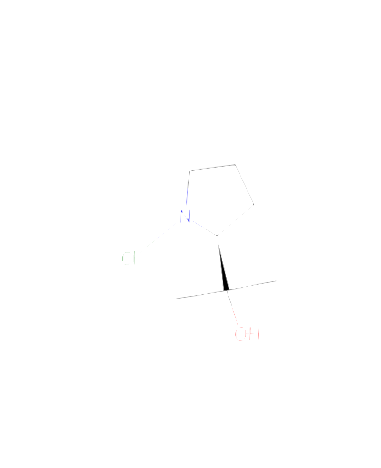 CC(C)(O)[C@@H]1CCCN1Cl